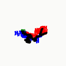 CCCCCCN(CCNC(=O)c1cccc(CCN(C[C@H](CNC(=O)c2nc(Cl)c(N)nc2N)Cc2ccccc2C)B(C)O)c1)C[C@H](O)[C@@H](O)[C@H](O)[C@H](O)CO